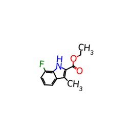 CCOC(=O)c1[nH]c2c(F)cccc2c1C